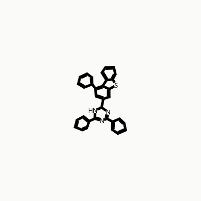 c1ccc(C2=NC(c3cc(-c4ccccc4)c4c(c3)sc3ccccc34)NC(c3ccccc3)=N2)cc1